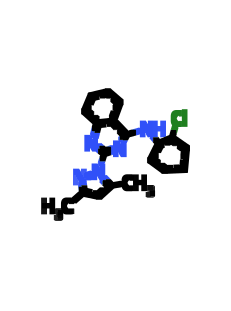 Cc1cc(C)n(-c2nc(Nc3ccccc3Cl)c3ccccc3n2)n1